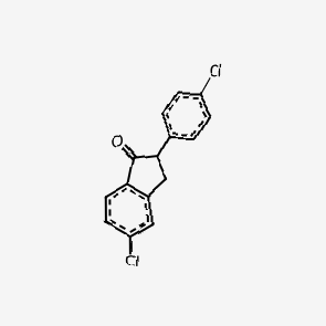 O=C1c2ccc(Cl)cc2CC1c1ccc(Cl)cc1